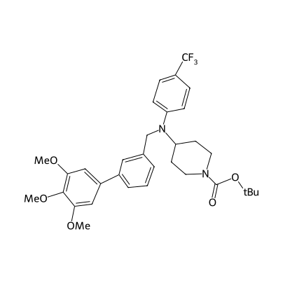 COc1cc(-c2cccc(CN(c3ccc(C(F)(F)F)cc3)C3CCN(C(=O)OC(C)(C)C)CC3)c2)cc(OC)c1OC